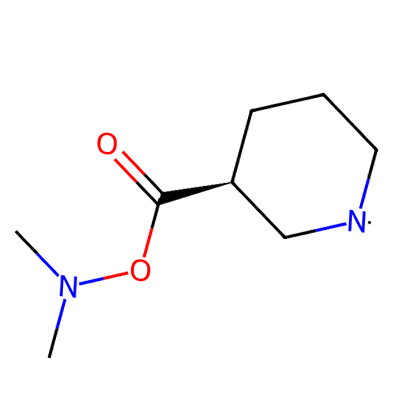 CN(C)OC(=O)[C@H]1CCC[N]C1